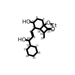 CCOC12CCC(O)C(C=CC(O)C3CCCCC3)C1C(C)C2=O